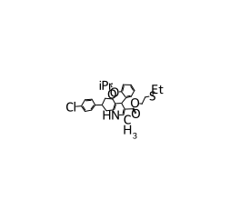 CCSCCOC(=O)C1=C(C)NC2=C(C(=O)CC(c3ccc(Cl)cc3)C2)C1c1ccccc1OC(C)C